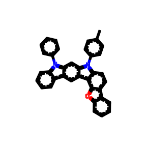 Cc1ccc(-n2c3cc4c(cc3c3c5oc6ccccc6c5ccc32)c2ccccc2n4-c2ccccc2)cc1